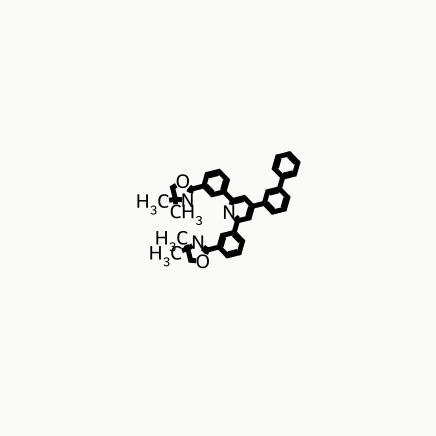 CC1(C)COC(c2cccc(-c3cc(-c4cccc(-c5ccccc5)c4)cc(-c4cccc(C5=NC(C)(C)CO5)c4)n3)c2)=N1